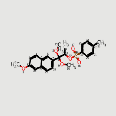 COc1ccc2cc(C(OC)(OC)C(C)OS(=O)(=O)c3ccc(C)cc3)ccc2c1